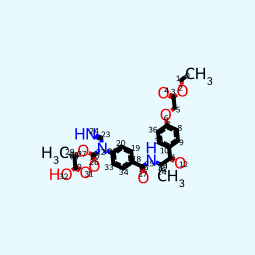 CCOC(=O)COc1ccc(C(=O)[C@H](C)NC(=O)c2ccc(N(C=N)C(=O)O[C@@H](C)C(=O)O)cc2)cc1